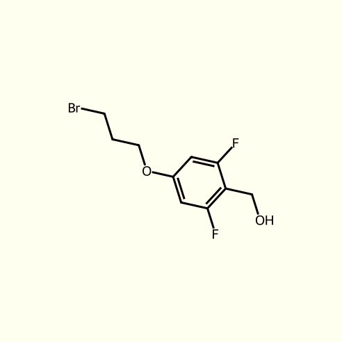 OCc1c(F)cc(OCCCBr)cc1F